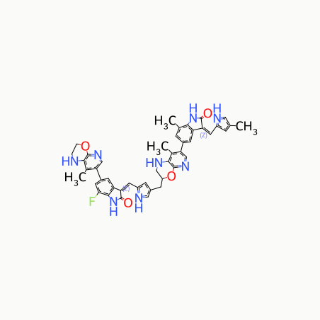 Cc1c[nH]c(/C=C2\C(=O)Nc3c(C)cc(-c4cnc5c(c4C)NCC(Cc4c[nH]c(/C=C6\C(=O)Nc7c(F)cc(-c8cnc9c(c8C)NCCO9)cc76)c4)O5)cc32)c1